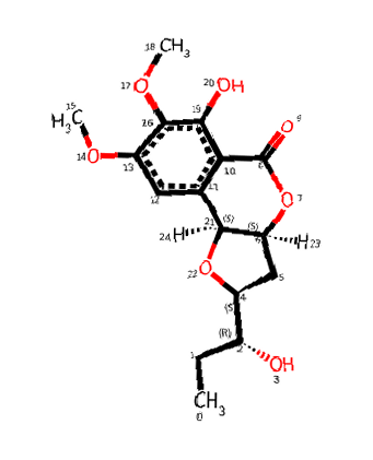 CC[C@@H](O)[C@@H]1C[C@@H]2OC(=O)c3c(cc(OC)c(OC)c3O)[C@@H]2O1